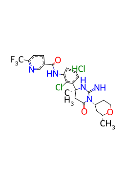 C[C@@H]1C[C@H](N2C(=N)N[C@](C)(c3cccc(NC(=O)c4ccc(C(F)(F)F)nc4)c3Cl)CC2=O)CCO1.Cl